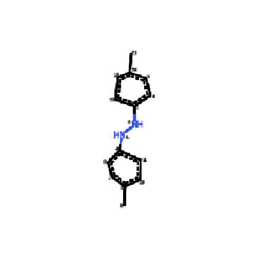 Cc1ccc(NNc2ccc(C)cc2)cc1